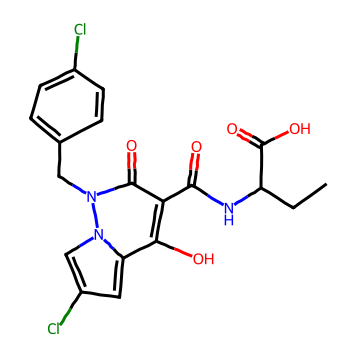 CCC(NC(=O)c1c(O)c2cc(Cl)cn2n(Cc2ccc(Cl)cc2)c1=O)C(=O)O